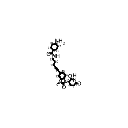 Cn1c(=O)n(C2CCC(=O)NC2=O)c2ccc(C#CCCCNC(=O)C3CCC(N)CC3)cc21